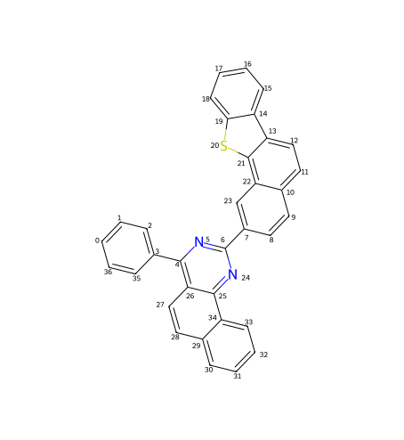 c1ccc(-c2nc(-c3ccc4ccc5c6ccccc6sc5c4c3)nc3c2ccc2ccccc23)cc1